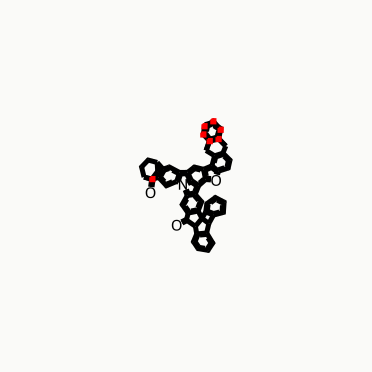 O=C1c2cc3c(cc2C2CCC1CC2)c1cc2c(oc4ccc5c(c42)C2c4ccccc4C5c4ccccc42)c2c4cc5c(cc4n3c12)C(=O)C1c2ccccc2C2c3ccccc3C512